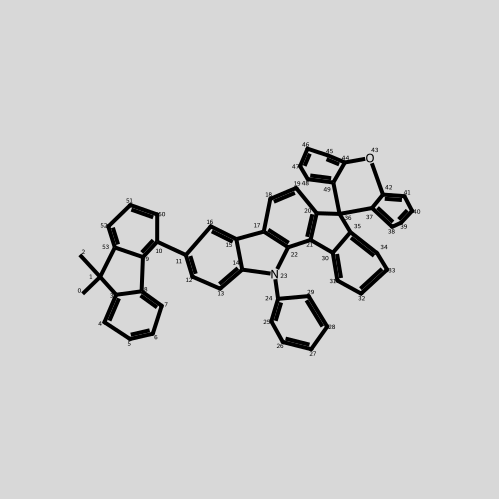 CC1(C)c2ccccc2-c2c(-c3ccc4c(c3)c3ccc5c(c3n4-c3ccccc3)-c3ccccc3C53c4ccccc4Oc4ccccc43)cccc21